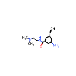 C#Cc1cc(N)cc(C(=O)NCCN(C)C)c1